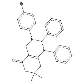 CC1(C)CC(=O)C2=C(C1)N(c1ccccc1)C(c1ccccc1)N(c1ccc(Br)cc1)C2